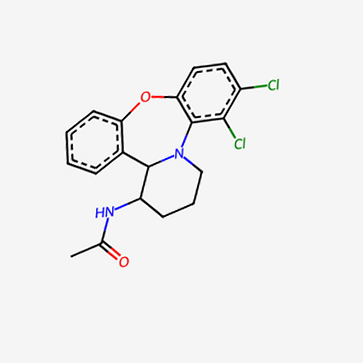 CC(=O)NC1CCCN2c3c(ccc(Cl)c3Cl)Oc3ccccc3C12